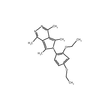 CCOc1ccc(-n2c(C)c3c(C)nnc(C)c3c2C)c(OCC)c1